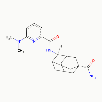 CN(C)c1cccc(C(=O)N[C@H]2C3CC4CC2C[C@](C(N)=O)(C4)C3)n1